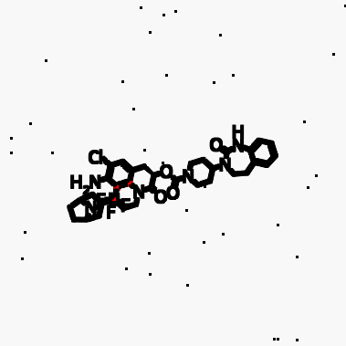 CN1C2CCC1CC(N1CCN(C(=O)[C@@H](Cc3cc(Cl)c(N)c(C(F)(F)F)c3)OC(=O)N3CCC(N4CCc5ccccc5NC4=O)CC3)CC1)C2